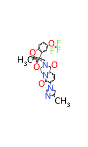 Cc1cn(-c2ccc3n(c2=O)CCN(C[C@@]24C(=O)[C@]2(C)Oc2ccc(OC(F)(F)F)cc24)C3=O)cn1